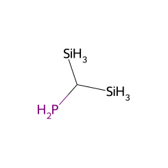 [SiH3]C([SiH3])P